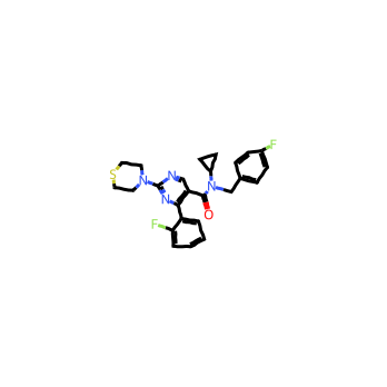 O=C(c1cnc(N2CCSCC2)nc1-c1ccccc1F)N(Cc1ccc(F)cc1)C1CC1